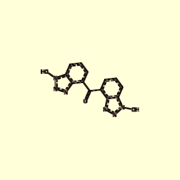 O=C(c1cccc2c1nnn2O)c1cccc2c1nnn2O